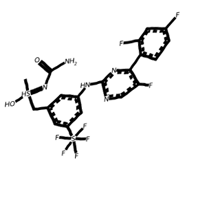 C[SH](O)(Cc1cc(Nc2ncc(F)c(-c3ccc(F)cc3F)n2)cc(S(F)(F)(F)(F)F)c1)=NC(N)=O